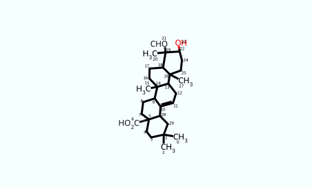 CC1(C)CCC2(C(=O)O)CCC3C(=CCC4C3(C)CCC3C(C)(C=O)C(O)CCC34C)C2C1